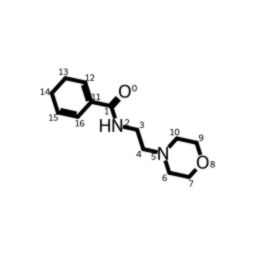 O=C(NCCN1CCOCC1)C1=CCCC=C1